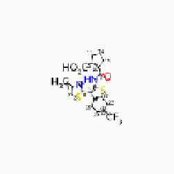 Cc1csc(-c2c(NC(=O)C3=C(C(=O)O)CCC3)sc3c2CC[C@H](C(F)(F)F)C3)n1